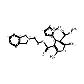 COC(=O)C1=C(C)NC(C)=C(C(=O)OCCN2Cc3ccccc3C2)C1c1cccn1C